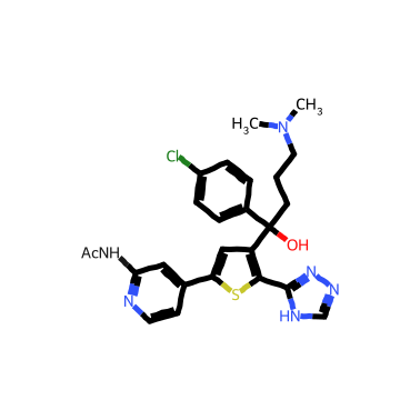 CC(=O)Nc1cc(-c2cc(C(O)(CCCN(C)C)c3ccc(Cl)cc3)c(-c3nnc[nH]3)s2)ccn1